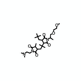 COCCOCC(C)N1C(=O)C(CC(C)(C)C)C(C(C)(C)CC2C(=O)N(CCN(C)C)C(=O)C2C)C1=O